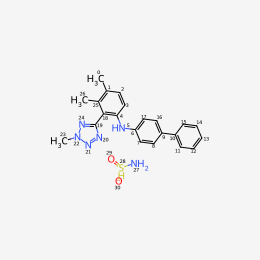 Cc1ccc(Nc2ccc(-c3ccccc3)cc2)c(-c2nnn(C)n2)c1C.N[SH](=O)=O